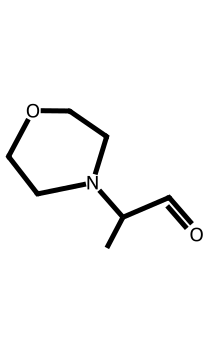 CC(C=O)N1CCOCC1